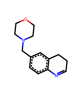 C1=Nc2ccc(CN3CCOCC3)cc2CC1